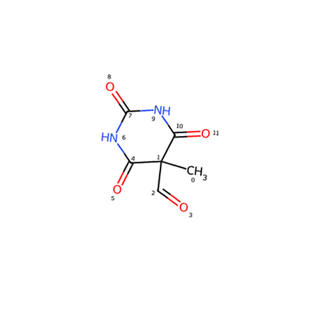 CC1(C=O)C(=O)NC(=O)NC1=O